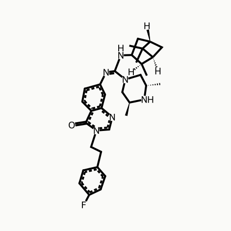 C[C@H]1CN(C(=Nc2ccc3c(=O)n(CCc4ccc(F)cc4)cnc3c2)NC2C[C@@H]3C[C@@H]([C@H]2C)C3(C)C)C[C@H](C)N1